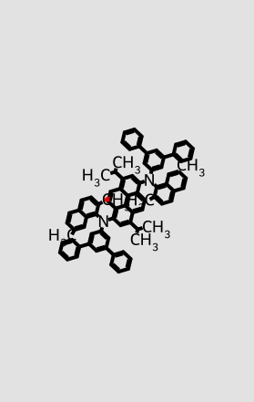 Cc1ccc2ccc(C)c(N(c3cc(-c4ccccc4)cc(-c4ccccc4)c3)c3cc(C(C)C)c4ccc5c(N(c6cc(-c7ccccc7)cc(-c7ccccc7)c6)c6c(C)ccc7ccc(C)cc67)cc(C(C)C)c6ccc3c4c65)c2c1